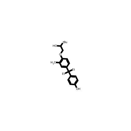 CCC(CC)(c1ccc(O)cc1)c1ccc(OCC(O)C(C)(C)C)c(C)c1